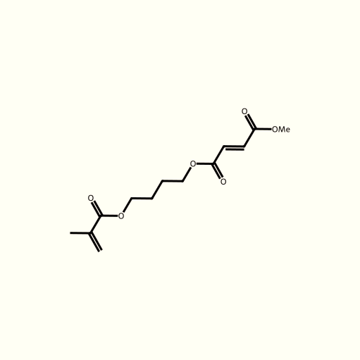 C=C(C)C(=O)OCCCCOC(=O)/C=C/C(=O)OC